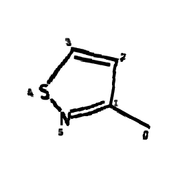 Cc1[c]csn1